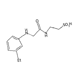 CCc1cccc(NCC(=O)NCCS(=O)(=O)O)c1